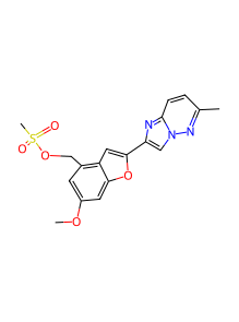 COc1cc(COS(C)(=O)=O)c2cc(-c3cn4nc(C)ccc4n3)oc2c1